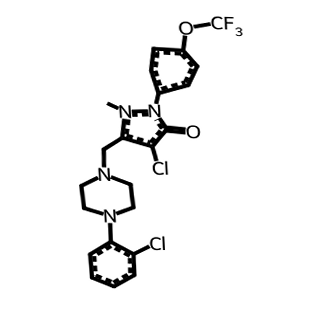 Cn1c(CN2CCN(c3ccccc3Cl)CC2)c(Cl)c(=O)n1-c1ccc(OC(F)(F)F)cc1